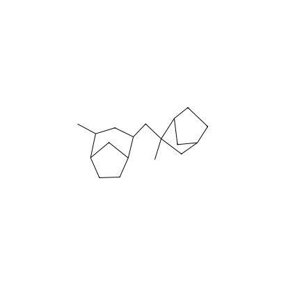 CC1CC(CC2(C)CC3CCC2C3)C2CCC1C2